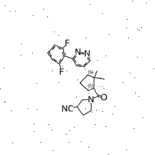 CC1(C)[C@@H](c2cnnc(-c3c(F)cccc3F)c2)CC[C@]1(C)C(=O)N1CCC(C#N)C1